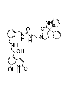 NC(=O)C(c1ccccc1)(c1ccccc1)C1CCN(CCNC(=O)NCc2cccc(CNCC(O)c3ccc(O)c4[nH]c(=O)ccc34)c2)C1